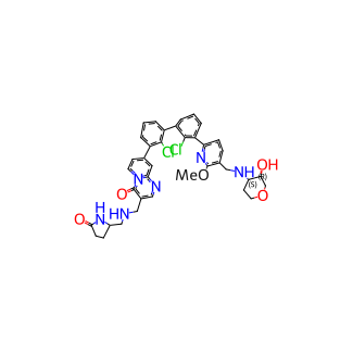 COc1nc(-c2cccc(-c3cccc(-c4ccn5c(=O)c(CNCC6CCC(=O)N6)cnc5c4)c3Cl)c2Cl)ccc1CN[C@H]1CCOC[C@@H]1O